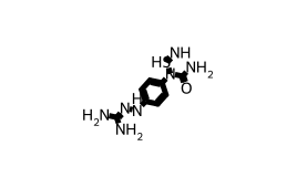 N=[SH]N(C(N)=O)c1ccc(NN=C(N)N)cc1